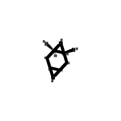 C1C2OC2C[C@H]2O[C@H]12